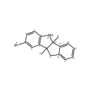 CC(C)c1ccc2c(c1)C1(C)Cc3ccccc3C1(C)N2